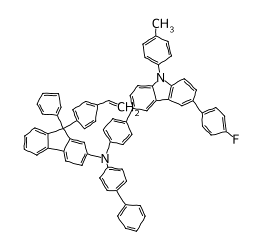 C=Cc1ccc(C2(c3ccccc3)c3ccccc3-c3ccc(N(c4ccc(-c5ccccc5)cc4)c4ccc(-c5ccc6c(c5)c5cc(-c7ccc(F)cc7)ccc5n6-c5ccc(C)cc5)cc4)cc32)cc1